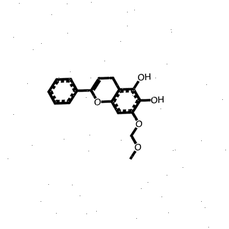 COCOc1cc2c(c(O)c1O)CC=C(c1ccccc1)O2